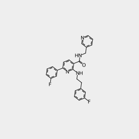 O=C(NCc1cccnc1)c1ccc(-c2cccc(F)c2)nc1NCCc1cccc(F)c1